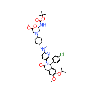 COC(=O)CN(CCNC(=O)OC(C)(C)C)[C@H]1CC[C@H](CN(C)c2ccc(N3C(=O)Cc4cc(OC)c(OC(C)C)cc4[C@@H]3c3ccc(Cl)cc3)cn2)CC1